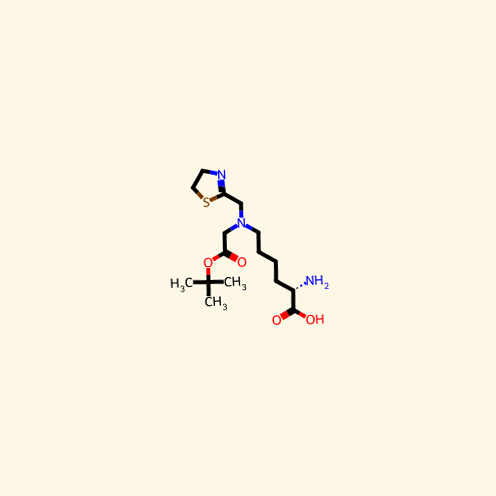 CC(C)(C)OC(=O)CN(CCCC[C@H](N)C(=O)O)CC1=NCCS1